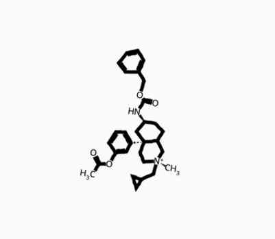 CC(=O)Oc1cccc([C@@]23CC[N@+](C)(CC4CC4)CC2CC[C@H](NC(=O)OCc2ccccc2)C3)c1